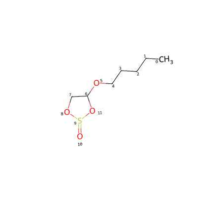 CCCCCOC1COS(=O)O1